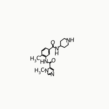 Cc1ccc(C(=O)NC2CCNCC2)cc1NC(=O)c1cncn1C